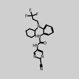 N#Cc1ncc(NC(=O)Nc2ccccc2N(CCC(F)(F)F)C2CCCCC2)cn1